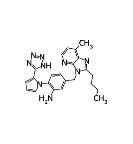 CCCCc1nc2c(C)ccnc2n1Cc1ccc(-n2cccc2-c2nnn[nH]2)c(N)c1